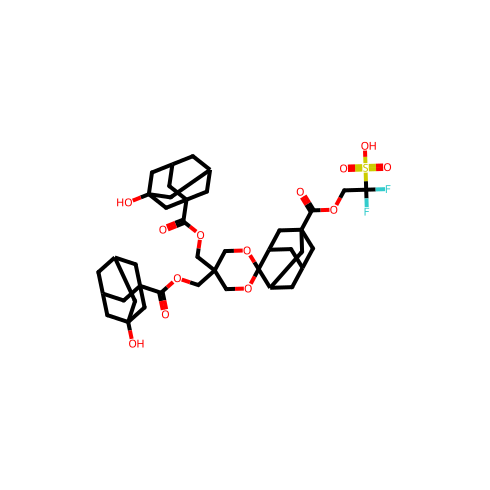 O=C(OCC(F)(F)S(=O)(=O)O)C12CC3CC(C1)C1(OCC(COC(=O)C45CC6CC(CC(O)(C6)C4)C5)(COC(=O)C45CC6CC(CC(O)(C6)C4)C5)CO1)C(C3)C2